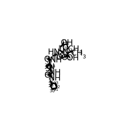 CC(C)[C@H](NC(=O)[C@H](CC(=O)O)NC(=O)CNC(=O)c1csc(NC(=O)NCc2ccccc2)n1)C(=O)O